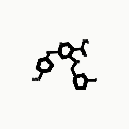 CC(=O)Nc1ccc(Nc2cc(NCc3cccc(F)n3)c(C(N)=O)cn2)cc1